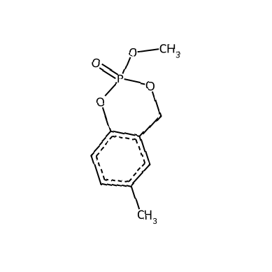 COP1(=O)OCc2cc(C)ccc2O1